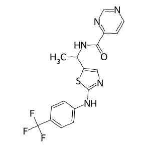 CC(NC(=O)c1ccncn1)c1cnc(Nc2ccc(C(F)(F)F)cc2)s1